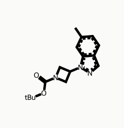 Cc1ccc2cnn(C3CN(C(=O)OC(C)(C)C)C3)c2c1